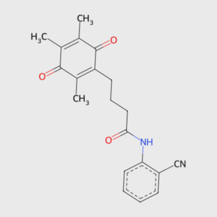 CC1=C(C)C(=O)C(CCCC(=O)Nc2ccccc2C#N)=C(C)C1=O